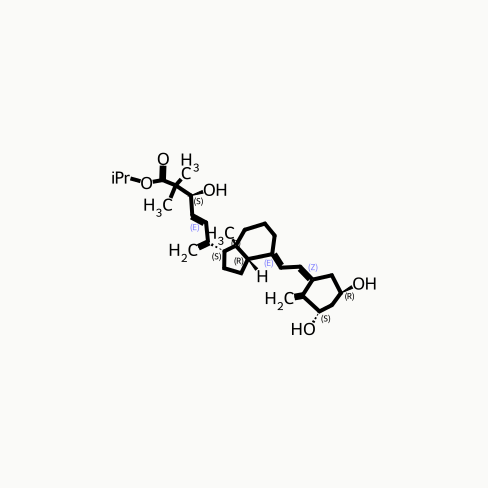 C=C(/C=C/[C@H](O)C(C)(C)C(=O)OC(C)C)[C@H]1CC[C@H]2/C(=C/C=C3/C[C@@H](O)C[C@H](O)C3=C)CCC[C@]12C